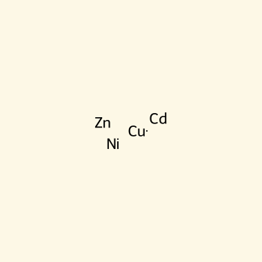 [Cd].[Cu].[Ni].[Zn]